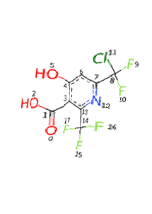 O=C(O)c1c(O)cc(C(F)(F)Cl)nc1C(F)(F)F